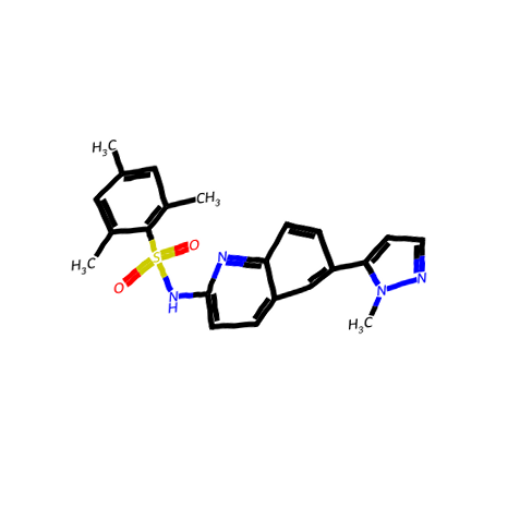 Cc1cc(C)c(S(=O)(=O)Nc2ccc3cc(-c4ccnn4C)ccc3n2)c(C)c1